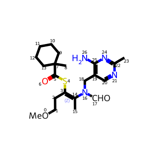 COCC/C(SC(=O)C1(C)CCCCC1)=C(\C)N(C=O)Cc1cnc(C)nc1N